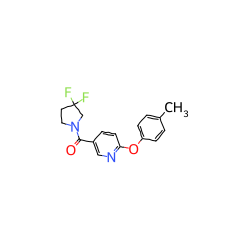 Cc1ccc(Oc2ccc(C(=O)N3CCC(F)(F)C3)cn2)cc1